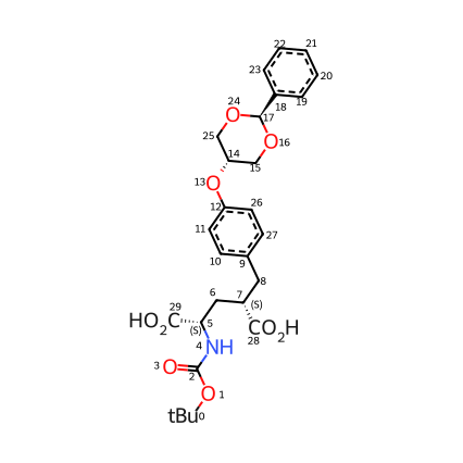 CC(C)(C)OC(=O)N[C@@H](C[C@H](Cc1ccc(O[C@H]2CO[C@H](c3ccccc3)OC2)cc1)C(=O)O)C(=O)O